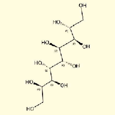 OC[C@@H](O)[C@H](O)[C@H](O)[C@@H](O)[C@@H](O)[C@H](O)[C@H](O)CO